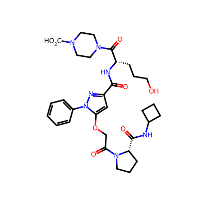 O=C(N[C@@H](CCCO)C(=O)N1CCN(C(=O)O)CC1)c1cc(OCC(=O)N2CCC[C@H]2C(=O)NC2CCC2)n(-c2ccccc2)n1